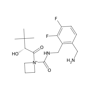 CC(C)(C)[C@@H](O)C(=O)[N+]1(C(=O)NCc2c(CN)ccc(F)c2F)CCC1